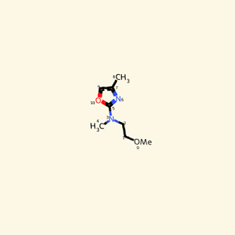 COCCN(C)c1nc(C)co1